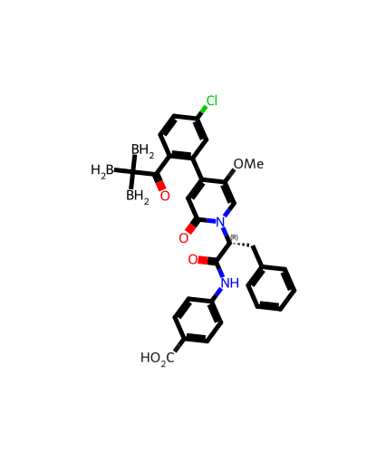 BC(B)(B)C(=O)c1ccc(Cl)cc1-c1cc(=O)n([C@H](Cc2ccccc2)C(=O)Nc2ccc(C(=O)O)cc2)cc1OC